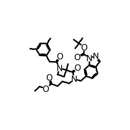 CCOC(=O)CCCN(Cc1ccc2cnn(C(=O)OC(C)(C)C)c2c1)C(=O)C1(C)CCN1C(=O)Cc1cc(C)cc(C)c1